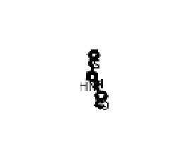 c1ccc2sc(-c3ccc4[nH]c(-c5ccc6occc6c5)nc4c3)cc2c1